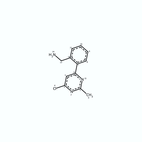 Cc1nc(Cl)cc(-c2ccccc2CN)n1